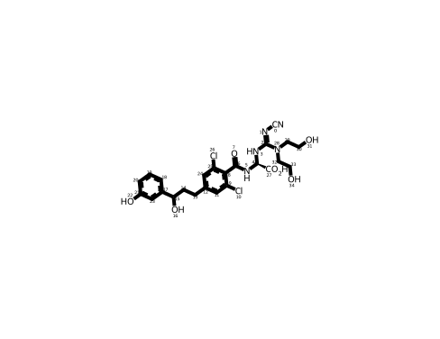 N#C/N=C(/N[C@H](NC(=O)c1c(Cl)cc(CCC(O)c2cccc(O)c2)cc1Cl)C(=O)O)N(CCO)CCO